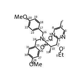 CCO[C@@H](c1ncc(C)cn1)[C@@H](C)S(=O)(=O)N(Cc1ccc(OC)cc1)Cc1ccc(OC)cc1